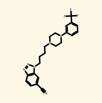 N#Cc1ccc2nnn(CCCCN3CCN(c4cccc(C(F)(F)F)c4)CC3)c2c1